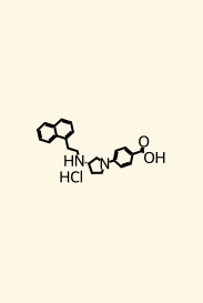 Cl.O=C(O)c1ccc(N2CC[C@H](NCCc3cccc4ccccc34)C2)cc1